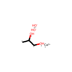 CC(O)CO.[Ca+2].[OH-].[OH-]